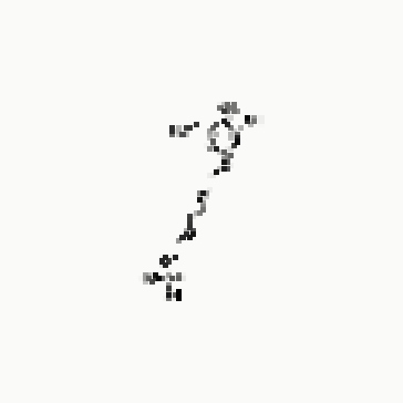 C[C@@H]1[C@H](O)C[C@H](OCCOCCOCCOP(=O)(O)S)O[C@@H]1CO